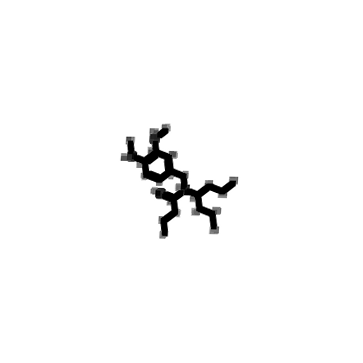 CCCC(=O)N(Cc1ccc(OC)c(OC)c1)C(CCC)CCC